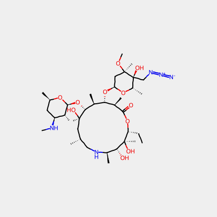 CC[C@H]1OC(=O)[C@H](C)[C@@H](O[C@H]2C[C@@](C)(OC)[C@](O)(CN=[N+]=[N-])[C@H](C)O2)[C@H](C)[C@@H](O[C@@H]2O[C@H](C)C[C@H](NC)[C@H]2C)[C@](C)(O)C[C@@H](C)CN[C@H](C)[C@@H](O)[C@]1(C)O